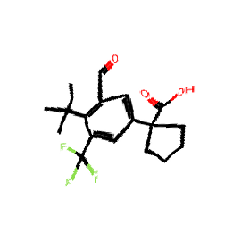 CC(C)(C)c1c(C=O)cc(C2(C(=O)O)CCCC2)cc1C(F)(F)F